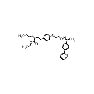 CCCCC(CCc1ccc(OCCO/N=C(/C)c2ccc(-c3ccccn3)cc2)cc1)C(=O)OCC